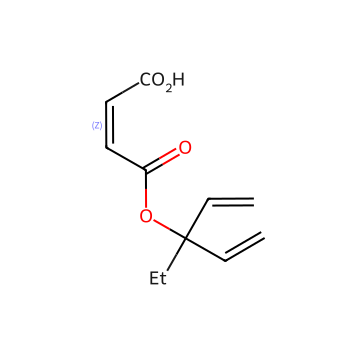 C=CC(C=C)(CC)OC(=O)/C=C\C(=O)O